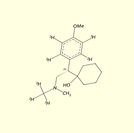 [2H]c1c([2H])c([C@@H](CN(C)C([2H])([2H])[2H])C2(O)CCCCC2)c([2H])c([2H])c1OC